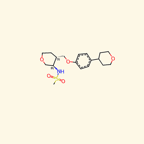 CS(=O)(=O)N[C@H]1COCC[C@@H]1COc1ccc(C2CCOCC2)cc1